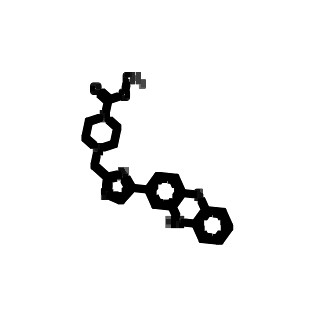 COC(=O)N1CCN(Cc2nc(-c3ccc4c(c3)Nc3ccccc3S4)cs2)CC1